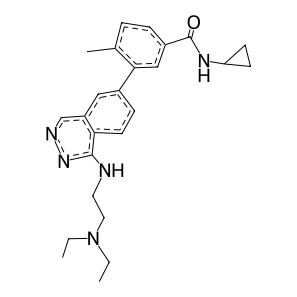 CCN(CC)CCNc1nncc2cc(-c3cc(C(=O)NC4CC4)ccc3C)ccc12